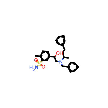 Cc1ccc(C(O)CN(Cc2ccccc2)C(C)CCc2ccccc2)cc1S(N)(=O)=O